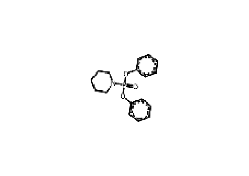 O=P(Oc1ccccc1)(Oc1ccccc1)N1CCCCC1